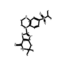 CC(C)S(=O)(=O)c1ccc2c(c1)OCCN2c1nc2c(s1)C(=O)NC(C)(C)C2